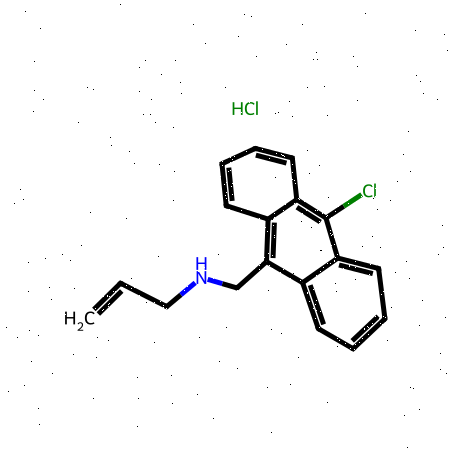 C=CCNCc1c2ccccc2c(Cl)c2ccccc12.Cl